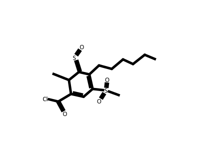 CCCCCCC1=C(S(C)(=O)=O)C=C(C(=O)Cl)C(C)C1=S=O